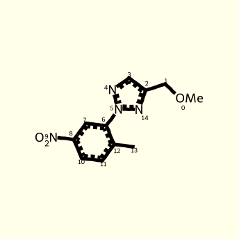 COCc1cnn(-c2cc([N+](=O)[O-])ccc2C)n1